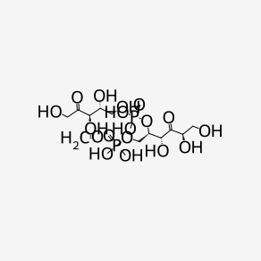 C=O.O=C(CO)[C@H](O)[C@H](O)CO.O=C([C@H](O)CO)[C@H](O)[C@@H](COP(=O)(O)O)OP(=O)(O)O